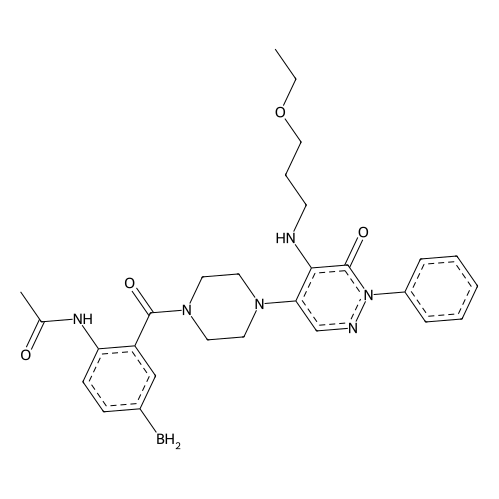 Bc1ccc(NC(C)=O)c(C(=O)N2CCN(c3cnn(-c4ccccc4)c(=O)c3NCCCOCC)CC2)c1